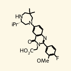 COc1cc(-c2nc3ccc(N4C[C@H](C(C)C)NCC(C)(C)C4)cc3c(=O)n2CC(=O)O)ccc1F